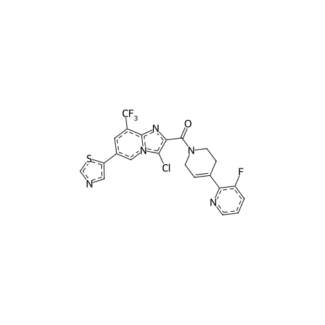 O=C(c1nc2c(C(F)(F)F)cc(-c3cncs3)cn2c1Cl)N1CC=C(c2ncccc2F)CC1